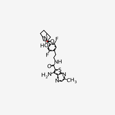 Cc1cnc2c(N)c(C(=O)NCCc3cc(F)c(N4CC5CCC(C4)N5C(=O)O)cc3F)sc2n1